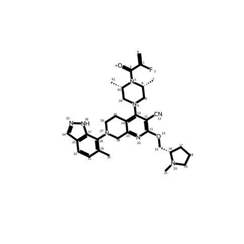 C=C(F)C(=O)N1[C@H](C)CN(c2c(C#N)c(OC[C@@H]3CCCN3C)nc3c2CCN(c2c(C)ccc4cn[nH]c24)C3)C[C@@H]1C